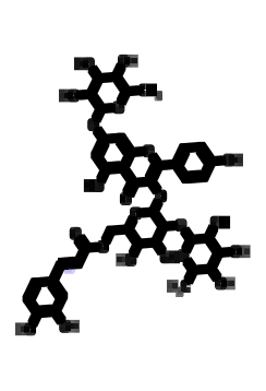 CC1OC(Oc2cc(O)c3c(=O)c(OC4OC(COC(=O)/C=C/c5ccc(O)c(O)c5)C(O)C(O)C4OC4OC(C)C(O)C(O)C4O)c(-c4ccc(O)cc4)oc3c2)C(O)C(O)C1O